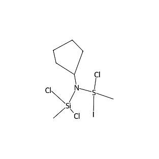 C[Si](Cl)(Cl)N(C1CCCC1)S(C)(Cl)I